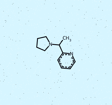 CC(c1ccccn1)N1CCCC1